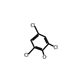 [O]c1c(Cl)cc(Cl)cc1Cl